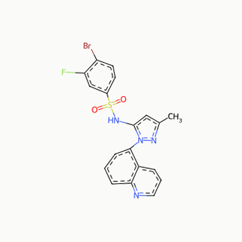 Cc1cc(NS(=O)(=O)c2ccc(Br)c(F)c2)n(-c2cccc3ncccc23)n1